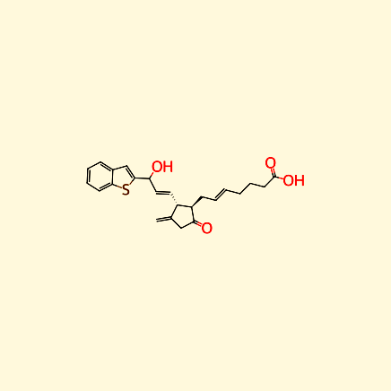 C=C1CC(=O)[C@H](CC=CCCCC(=O)O)[C@H]1C=CC(O)c1cc2ccccc2s1